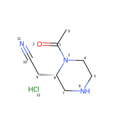 CC(=O)N1CCNC[C@@H]1CC#N.Cl